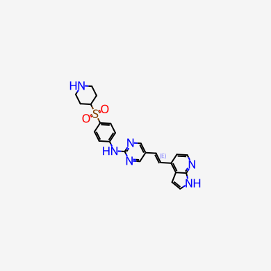 O=S(=O)(c1ccc(Nc2ncc(/C=C/c3ccnc4[nH]ccc34)cn2)cc1)C1CCNCC1